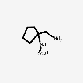 NCC1(NC(=O)O)CCCC1